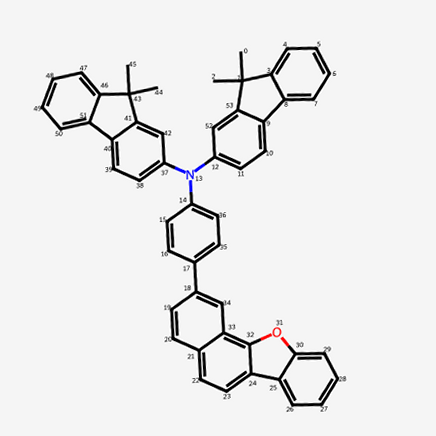 CC1(C)c2ccccc2-c2ccc(N(c3ccc(-c4ccc5ccc6c7ccccc7oc6c5c4)cc3)c3ccc4c(c3)C(C)(C)c3ccccc3-4)cc21